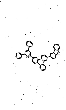 c1ccc(-c2cc(-c3ccccc3)nc(-c3ccc(-c4ccccc4)c(-c4ccc(-c5ccc6oc7ccccc7c6c5)cc4)c3)c2)cc1